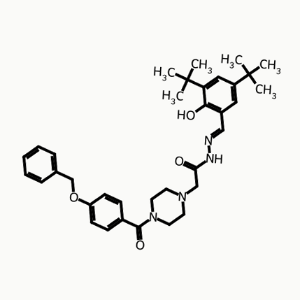 CC(C)(C)c1cc(/C=N/NC(=O)CN2CCN(C(=O)c3ccc(OCc4ccccc4)cc3)CC2)c(O)c(C(C)(C)C)c1